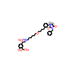 CC(=O)O[N+]1(c2cccc(CCCCOCCCCCCNCC(O)c3ccc(O)c(CO)c3)c2)CC(=O)N(Cc2ccccc2)C1=O